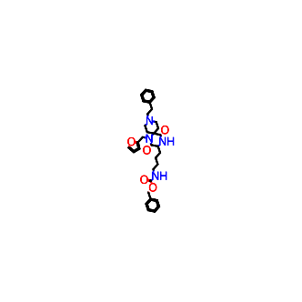 O=C(NCCCCC1NC(=O)C2(CCN(CCc3ccccc3)CC2)N(Cc2ccco2)C1=O)OCc1ccccc1